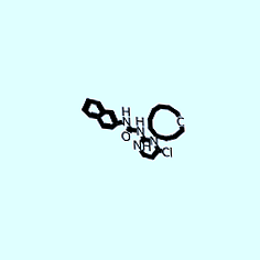 O=C(Nc1ccc2ccccc2c1)NC1NCCC(Cl)N1C1CCCCCCCCCC1